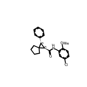 COc1ccc(Cl)cc1NC(=O)[C@@H]1[C@@H](c2ccccc2)C12CCCC2